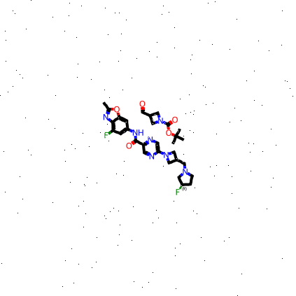 CC(C)(C)OC(=O)N1CC(C=O)C1.Cc1nc2c(F)cc(NC(=O)c3cnc(N4CC(CN5CC[C@@H](F)C5)C4)cn3)cc2o1